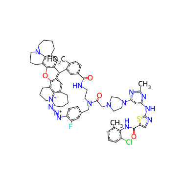 Cc1nc(Nc2ncc(C(=O)Nc3c(C)cccc3Cl)s2)cc(N2CCN(CC(=O)N(CCNC(=O)c3ccc(C(=O)O)c(C4=c5cc6c7c(c5Oc5c4cc4c8c5CCCN8CCCC4)CCC[N+]=7CCCC6)c3)Cc3ccc(N=[N+]=[N-])c(F)c3)CC2)n1